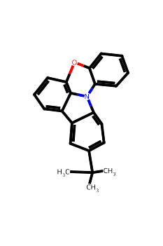 CC(C)(C)c1ccc2c(c1)c1cccc3c1n2-c1ccccc1O3